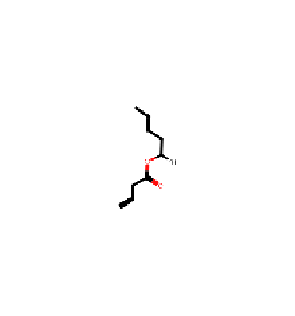 [2H]C(CCCC)OC(=O)[CH]C=C